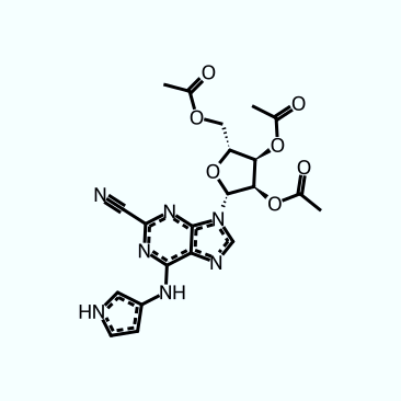 CC(=O)OC[C@H]1O[C@@H](n2cnc3c(Nc4cc[nH]c4)nc(C#N)nc32)[C@H](OC(C)=O)[C@@H]1OC(C)=O